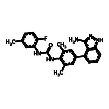 Cc1ccc(F)c(NC(=O)Nc2c(C)cc(-c3cccc4[nH]nc(N)c34)cc2C)c1